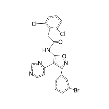 O=C(Cc1c(Cl)cccc1Cl)Nc1onc(-c2cccc(Br)c2)c1-c1ccncn1